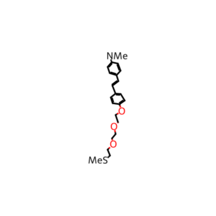 CNc1ccc(/C=C/c2ccc(OCCOCCOCCSC)cc2)cc1